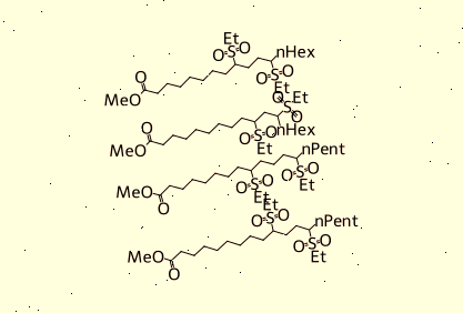 CCCCCC(CCC(CCCCCCCCC(=O)OC)S(=O)(=O)CC)S(=O)(=O)CC.CCCCCC(CCCC(CCCCCCCC(=O)OC)S(=O)(=O)CC)S(=O)(=O)CC.CCCCCCC(CC(CCCCCCCCC(=O)OC)S(=O)(=O)CC)S(=O)(=O)CC.CCCCCCC(CCC(CCCCCCCC(=O)OC)S(=O)(=O)CC)S(=O)(=O)CC